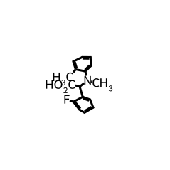 Cc1ccccc1N(C)C(C(=O)O)c1ccccc1F